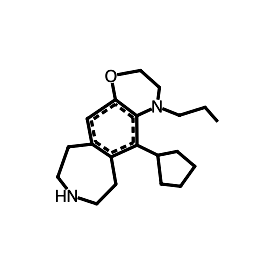 CCCN1CCOc2cc3c(c(C4CCCC4)c21)CCNCC3